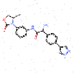 CC(C)C1COC(=O)N1c1cccc(NC(=O)C(N)c2ccc(-c3cn[nH]c3)cc2)c1